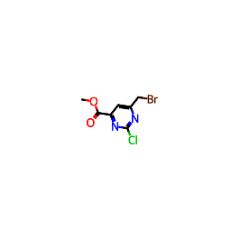 COC(=O)c1cc(CBr)nc(Cl)n1